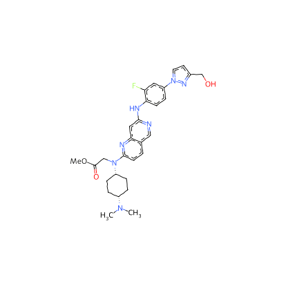 COC(=O)CN(c1ccc2cnc(Nc3ccc(-n4ccc(CO)n4)cc3F)cc2n1)[C@H]1CC[C@@H](N(C)C)CC1